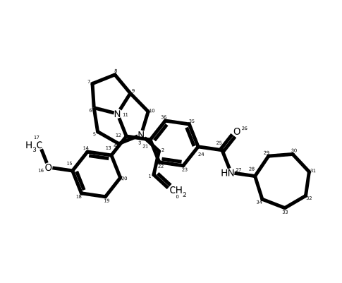 C=CCN1CCC2CCC(C1)N2C(C1=CC(OC)=CCC1)c1ccc(C(=O)NC2CCCCCC2)cc1